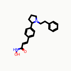 O=C(C=Cc1ccc(C2CCCN2CCc2ccccc2)cc1)NO